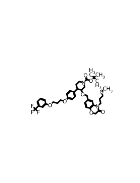 COCCCN1C(=O)COc2ccc(COC3CN(C(=O)OC(C)(C)C)CCC3c3ccc(OCCCOc4cccc(C(F)(F)F)c4)cc3)cc21